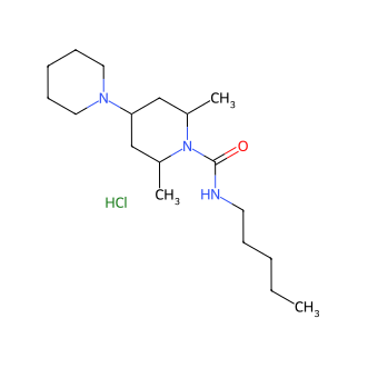 CCCCCNC(=O)N1C(C)CC(N2CCCCC2)CC1C.Cl